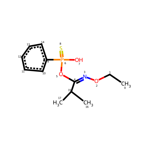 CCON=C(OP(O)(=S)c1ccccc1)C(C)C